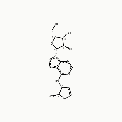 OC[C@H]1O[C@@H](n2cnc3c(N[C@@H]4C=CC[C@H]4O)ncnc32)[C@H](O)[C@@H]1O